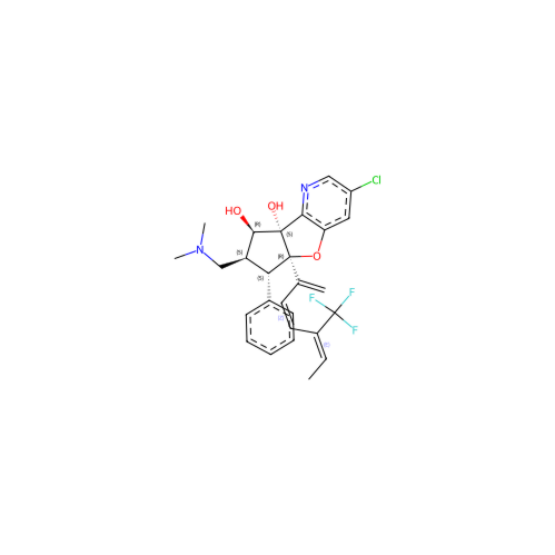 C=C(/C=C\C(=C/C)C(F)(F)F)[C@@]12Oc3cc(Cl)cnc3[C@]1(O)[C@H](O)[C@H](CN(C)C)[C@H]2c1ccccc1